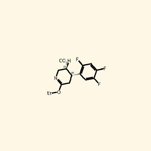 CCOC1=NC[C@@H](C(=O)O)[C@H](c2cc(F)c(F)cc2F)C1